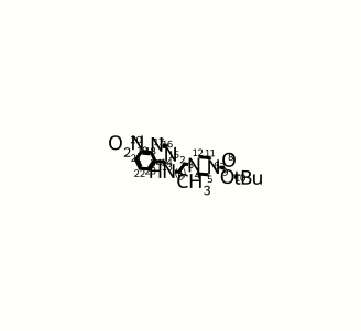 C[C@@H](CN1CCN(C(=O)OC(C)(C)C)CC1)Nc1ncnc2c([N+](=O)[O-])cccc12